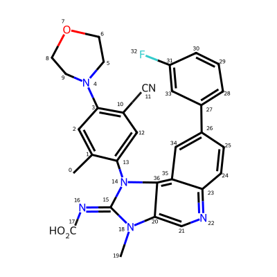 Cc1cc(N2CCOCC2)c(C#N)cc1-n1/c(=N/C(=O)O)n(C)c2cnc3ccc(-c4cccc(F)c4)cc3c21